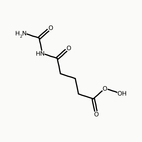 NC(=O)NC(=O)CCCC(=O)OO